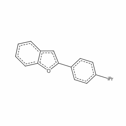 CC(C)c1ccc(-c2cc3ccccc3o2)cc1